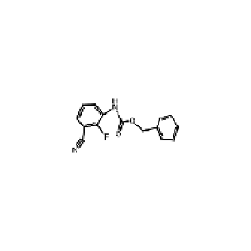 N#Cc1cccc(NC(=O)OCc2ccccc2)c1F